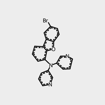 Brc1ccc2oc3c(N(c4cccnc4)c4cccnc4)cccc3c2c1